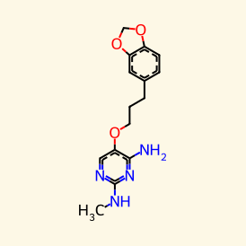 CNc1ncc(OCCCc2ccc3c(c2)OCO3)c(N)n1